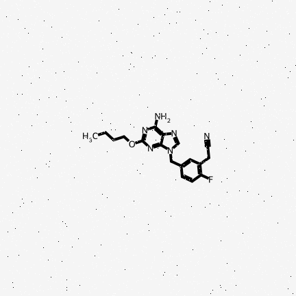 CCCCOc1nc(N)c2ncn(Cc3ccc(F)c(CC#N)c3)c2n1